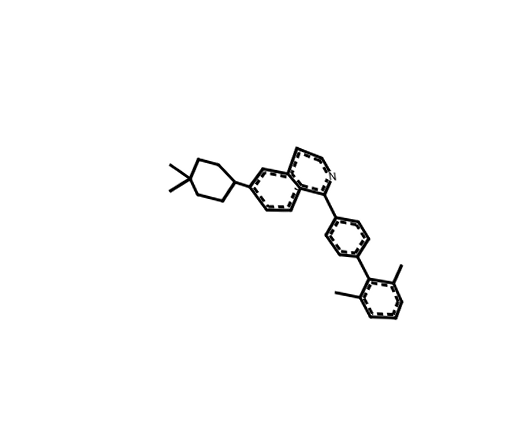 Cc1cccc(C)c1-c1ccc(-c2nccc3cc(C4CCC(C)(C)CC4)ccc23)cc1